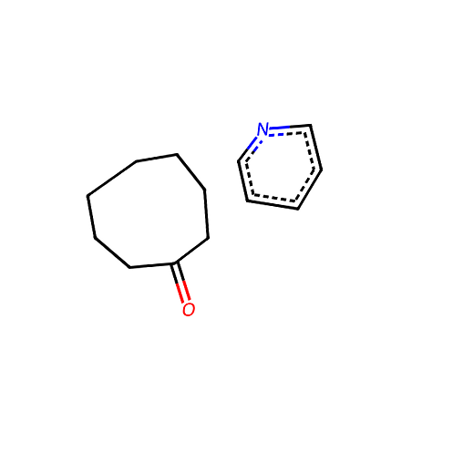 O=C1CCCCCCC1.c1ccncc1